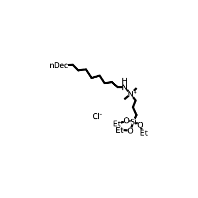 CCCCCCCCCCCCCCCCCCN[N+](C)(C)CCC[Si](OCC)(OCC)OCC.[Cl-]